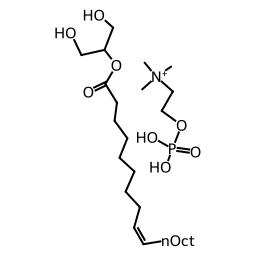 CCCCCCCC/C=C\CCCCCCCC(=O)OC(CO)CO.C[N+](C)(C)CCOP(=O)(O)O